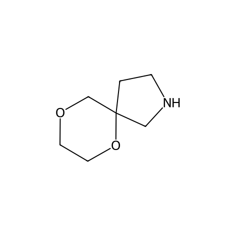 C1CC2(CN1)COCCO2